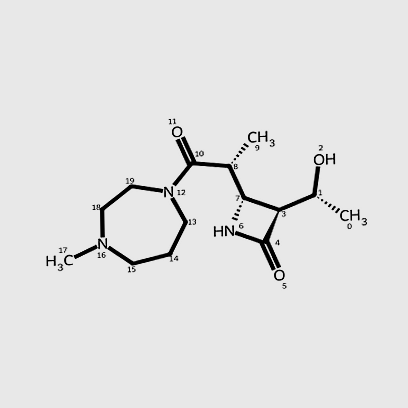 C[C@@H](O)[C@H]1C(=O)N[C@@H]1[C@@H](C)C(=O)N1CCCN(C)CC1